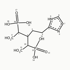 O=C(O)C(C(CCc1ncc[nH]1)C(C(=O)O)P(=O)(O)O)P(=O)(O)O